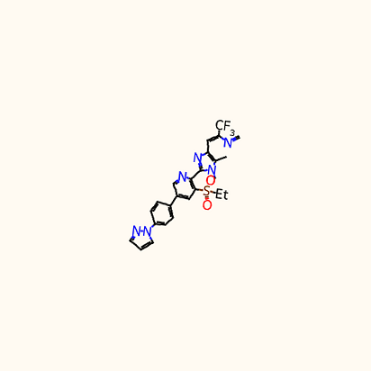 C=N/C(=C\c1nc(-c2ncc(-c3ccc(-n4cccn4)cc3)cc2S(=O)(=O)CC)n(C)c1C)C(F)(F)F